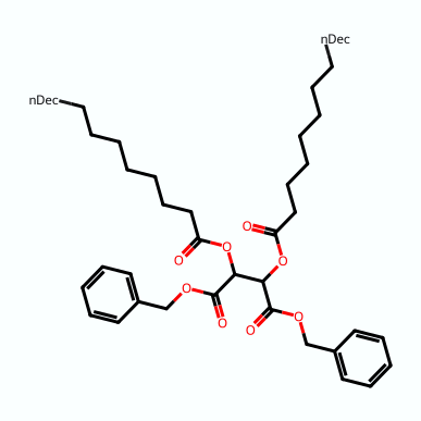 CCCCCCCCCCCCCCCCCC(=O)OC(C(=O)OCc1ccccc1)C(OC(=O)CCCCCCCCCCCCCCCCC)C(=O)OCc1ccccc1